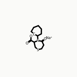 O=C([O-])C1CSCCC(=O)N1C1CCCCCC1.[Na+]